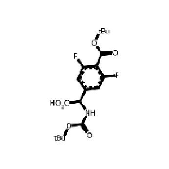 CC(C)(C)OC(=O)NC(C(=O)O)c1cc(F)c(C(=O)OC(C)(C)C)c(F)c1